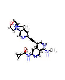 CNc1ncc(C#Cc2ccc(N3CC4CN(C)CC3CO4)cn2)c2cc(NC(=O)C3CC3)ncc12